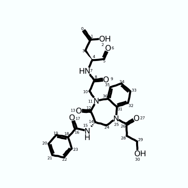 C=C(O)C[C@@H](C=O)NC(=O)CN1C(=O)[C@@H](NC(=O)c2ccccc2)CN(C(=O)CCO)c2ccccc21